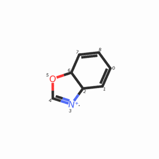 C1=CC2[N+]=COC2C=C1